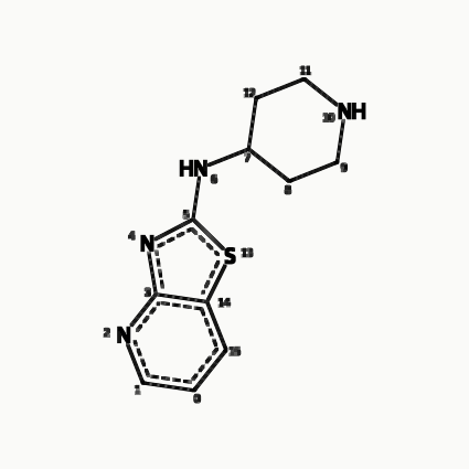 c1cnc2nc(NC3CCNCC3)sc2c1